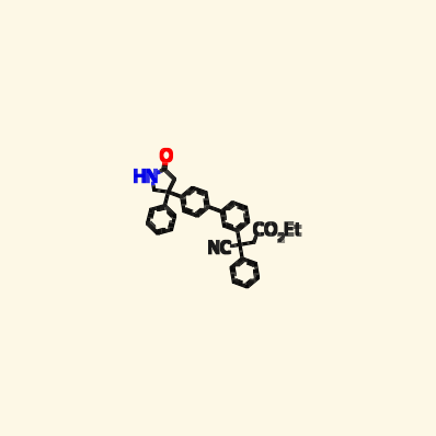 CCOC(=O)CC(C#N)(c1ccccc1)c1cccc(-c2ccc(C3(c4ccccc4)CNC(=O)C3)cc2)c1